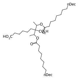 CCCCCCCCCCCCCCCCCC(=O)OC(C)C(CCCCCC(=O)O)(C(=O)O)C(C)OC(=O)CCCCCCCCCCCCCCCCC